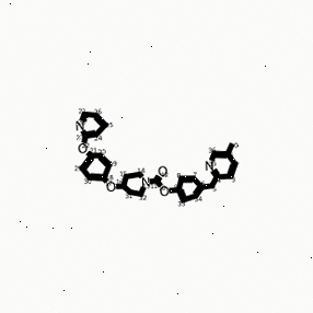 Cc1ccc(Cc2ccc(OC(=O)N3CCC(Oc4ccc(Oc5ccccn5)cc4)CC3)cc2)nc1